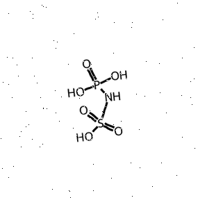 O=P(O)(O)NS(=O)(=O)O